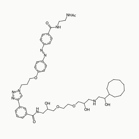 CC(=O)NCCNC(=O)c1ccc(/N=N/c2ccc(OCCCn3cc(-c4cccc(C(=O)NCC(O)COCCOCC(O)CNCC(O)C5CCCCCCCC5)c4)nn3)cc2)cc1